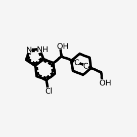 OCC12CCC(C(O)c3cc(Cl)cc4cn[nH]c34)(CC1)CC2